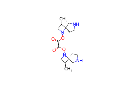 C[C@H]1CN(OC(=O)C(=O)ON2C[C@H](C)[C@@]23CCNC3)[C@]12CCNC2